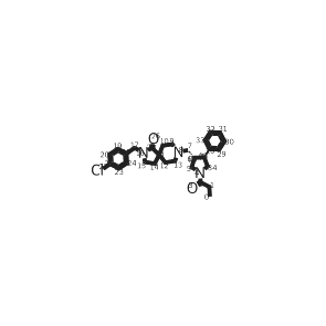 CCC(=O)N1C[C@H](CN2CCC3(CC2)CCN(Cc2ccc(Cl)cc2)C3=O)[C@@H](c2ccccc2)C1